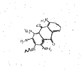 CNc1c(N)c(N)c2c(c1N)C(=O)c1cccc(N)c1C2=O